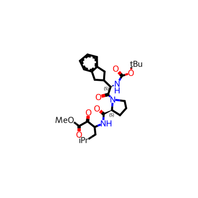 COC(=O)C(=O)C(CC(C)C)NC(=O)[C@@H]1CCCN1C(=O)[C@@H](NC(=O)OC(C)(C)C)C1Cc2ccccc2C1